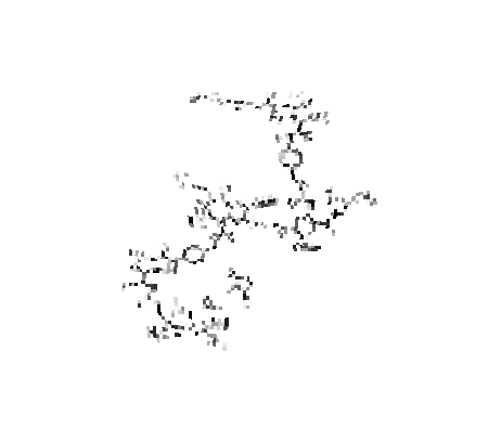 C=C1C[C@H]2CN(C(=O)OCc3ccc(NC(=O)C(C)NC(=O)[C@@H](NC(=O)CCOCCOC)C(C)C)cc3)c3cc(OCCCOc4cc5c(cc4OC)C(=O)N4CC(=C)C[C@H]4[C@H](O)N5C(=O)OCc4ccc(NC(=O)C(C)NC(=O)[C@@H](NC(=O)CCC(C)(C)OCCC(C)(C)NC(=O)CCN5C(=O)C=CC5=O)C(C)C)cc4)c(OC)cc3C(=O)N2C1